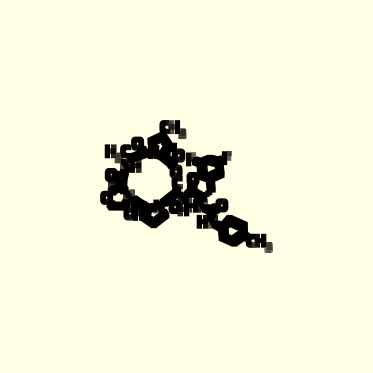 Cc1ccc(NC(=O)N[C@@H](Cc2cc(F)cc(F)c2)C(=O)N[C@H]2COC(=O)[C@@H]3C[C@@H](C)CN3C(=O)[C@H](C)NC(=O)[C@@H]3COCCN3C(=O)[C@@H]3CCCN3C2=O)cc1